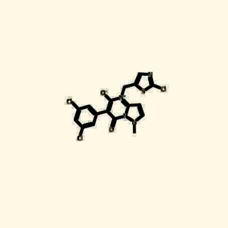 Cn1ccc2n1c(=O)c(-c1cc(Cl)cc(Cl)c1)c([O-])[n+]2Cc1cnc(Cl)s1